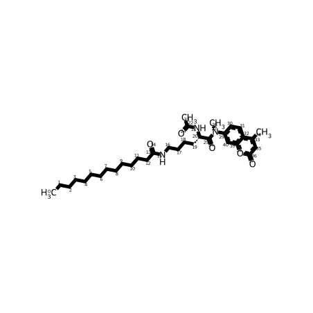 CCCCCCCCCCCCCC(=O)NCCCC[C@H](NC(C)=O)C(=O)N(C)c1ccc2c(C)cc(=O)oc2c1